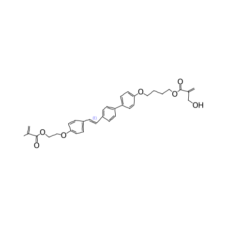 C=C(C)C(=O)OCCOc1ccc(/C=C/c2ccc(-c3ccc(OCCCCOC(=O)C(=C)CO)cc3)cc2)cc1